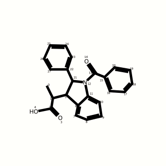 CC(C(=O)O)C1c2ccccc2N(C(=O)c2ccccc2)C1c1ccccc1